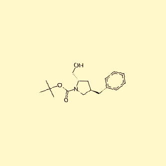 CC(C)(C)OC(=O)N1C[C@H](Cc2ccccc2)C[C@H]1CO